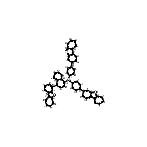 c1ccc2c(c1)oc1cc(-c3ccc(N(c4ccc(-c5ccc6c(c5)oc5ccccc56)cc4)c4ccc(-c5cccc6c5oc5ccccc56)c5ccccc45)cc3)ccc12